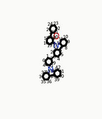 c1cc(-c2ccc3c4ccccc4n(-c4cccc5c4oc4ccccc45)c3c2)cc(-n2c3ccccc3c3ccccc32)c1